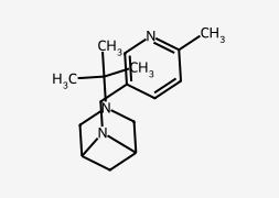 Cc1ccc(CN2C3CC2CN(C(C)(C)C)C3)cn1